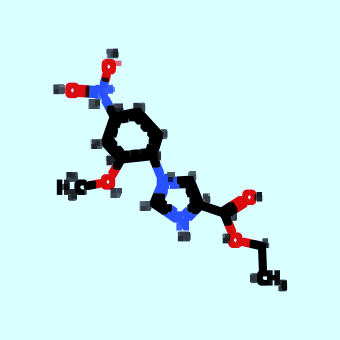 CCOC(=O)c1cn(-c2ccc([N+](=O)[O-])cc2OC)cn1